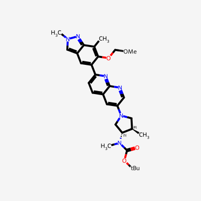 COCOc1c(-c2ccc3cc(N4C[C@@H](C)[C@H](N(C)C(=O)OC(C)(C)C)C4)cnc3n2)cc2cn(C)nc2c1C